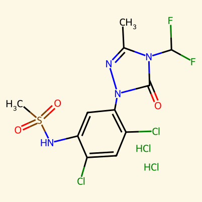 Cc1nn(-c2cc(NS(C)(=O)=O)c(Cl)cc2Cl)c(=O)n1C(F)F.Cl.Cl